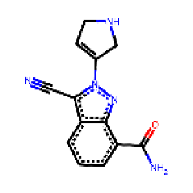 N#Cc1c2cccc(C(N)=O)c2nn1C1=CCNC1